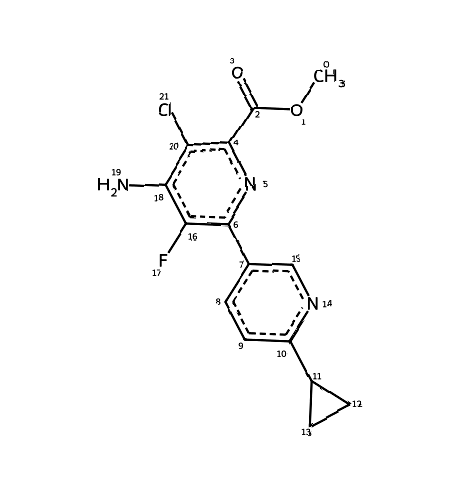 COC(=O)c1nc(-c2ccc(C3CC3)nc2)c(F)c(N)c1Cl